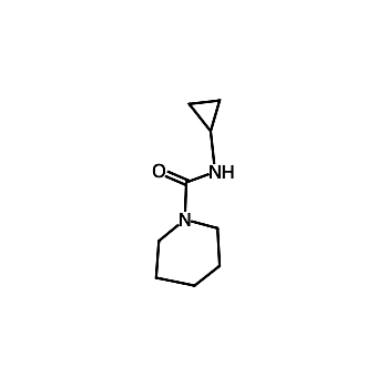 O=C(NC1CC1)N1CCCCC1